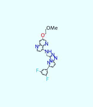 COCCOc1cnc2c(NCc3nnc4ccc(-c5cc(F)cc(F)c5)nn34)ccnc2c1